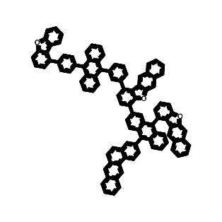 c1cc(-c2c3ccccc3c(-c3ccc(-c4cccc5oc6ccccc6c45)cc3)c3ccccc23)cc(-c2ccc(-c3ccc4c(-c5ccc6c(ccc7cc8ccccc8cc76)c5)c5ccccc5c(-c5cccc6oc7cc8ccccc8cc7c56)c4c3)c3oc4cc5ccccc5cc4c23)c1